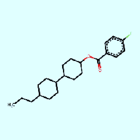 CCCC1CCC(C2CCC(OC(=O)c3ccc(F)cc3)CC2)CC1